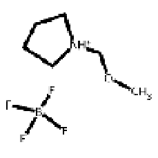 COC[NH+]1CCCC1.F[B-](F)(F)F